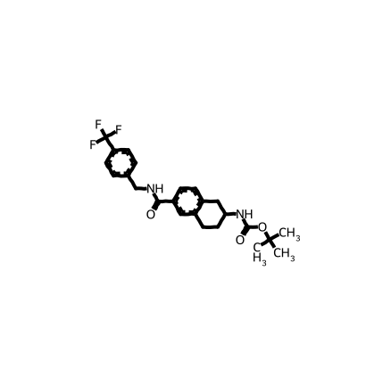 CC(C)(C)OC(=O)NC1CCc2cc(C(=O)NCc3ccc(C(F)(F)F)cc3)ccc2C1